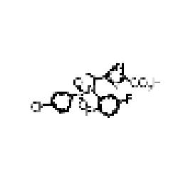 CC(c1cnc(C(=O)O)s1)N(c1cc(F)ccc1F)S(=O)(=O)c1ccc(Cl)cc1